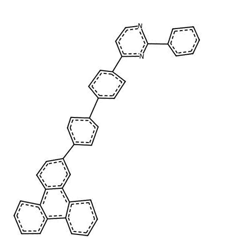 c1ccc(-c2nccc(-c3ccc(-c4ccc(-c5ccc6c7ccccc7c7ccccc7c6c5)cc4)cc3)n2)cc1